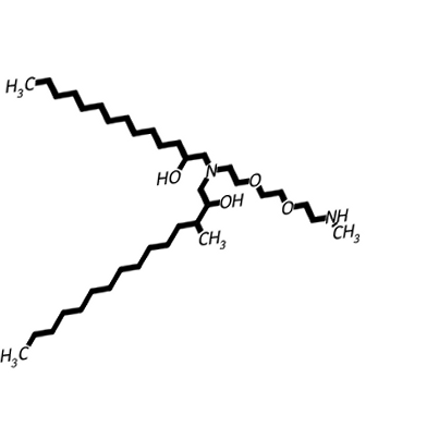 CCCCCCCCCCCCC(O)CN(CCOCCOCCNC)CC(O)C(C)CCCCCCCCCCCC